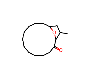 CC1CC2CCCCCCCCCCC(=O)C1O2